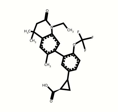 CCN1C(=O)CC(C)(C)c2cc(C)c(-c3cc(C4C[C@H]4C(=O)O)ccc3OC(F)(F)F)cc21